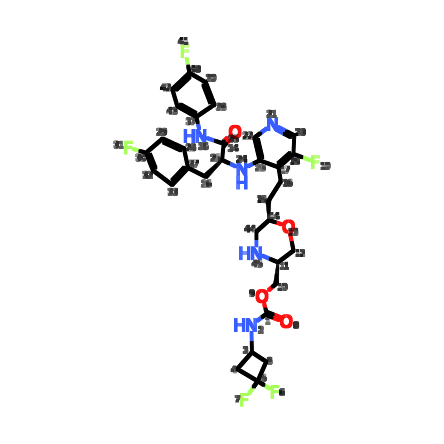 O=C(NC1CC(F)(F)C1)OC[C@@H]1CO[C@H](CCc2c(F)cncc2N[C@@H](Cc2ccc(F)cc2)C(=O)Nc2ccc(F)cc2)CN1